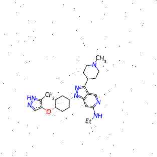 CCNc1cc2c(cn1)c(C1CCN(C)CC1)nn2[C@H]1CC[C@@H](Oc2cn[nH]c2C(F)(F)F)CC1